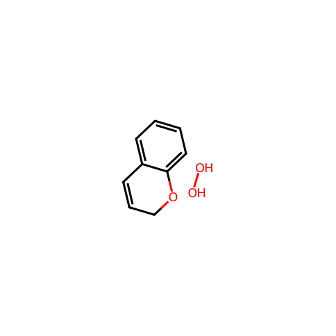 C1=Cc2ccccc2OC1.OO